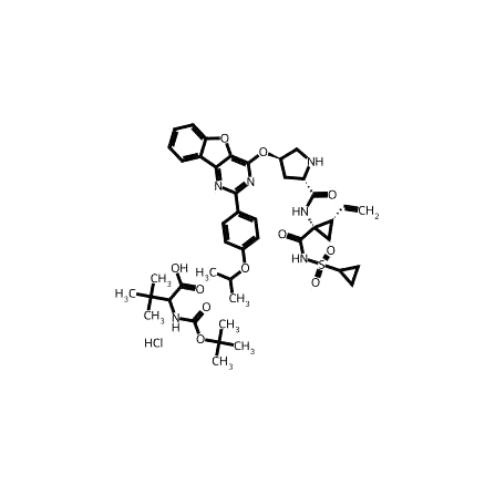 C=C[C@@H]1C[C@@]1(NC(=O)[C@@H]1C[C@@H](Oc2nc(-c3ccc(OC(C)C)cc3)nc3c2oc2ccccc23)CN1)C(=O)NS(=O)(=O)C1CC1.CC(C)(C)OC(=O)NC(C(=O)O)C(C)(C)C.Cl